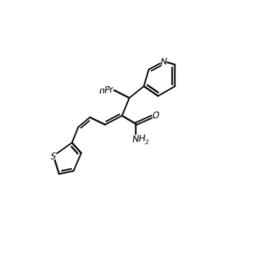 CCCC(/C(=C\C=C/c1cccs1)C(N)=O)c1cccnc1